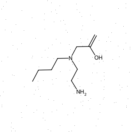 C=C(O)CN(CCN)CCCC